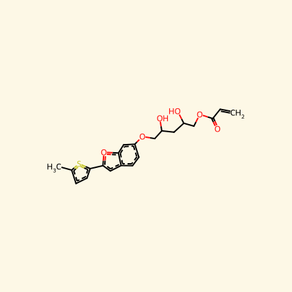 C=CC(=O)OCC(O)CC(O)COc1ccc2cc(-c3ccc(C)s3)oc2c1